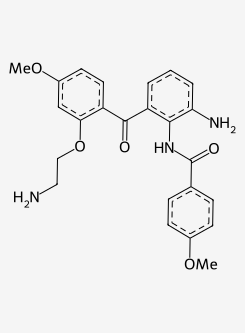 COc1ccc(C(=O)Nc2c(N)cccc2C(=O)c2ccc(OC)cc2OCCN)cc1